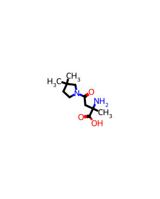 CC1(C)CCN(C(=O)CC(C)(N)C(=O)O)C1